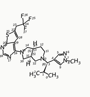 CC(C)[C@H](c1cnn(C)c1)N1CC[C@@H]2CN(c3ncnc4sc(CC(F)(F)F)cc34)C[C@@H]2C1